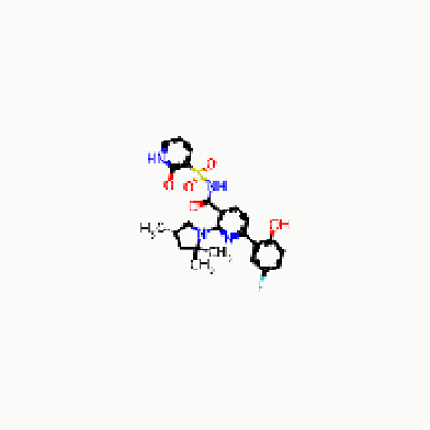 C[C@@H]1CN(c2nc(-c3cc(F)ccc3O)ccc2C(=O)NS(=O)(=O)c2ccc[nH]c2=O)C(C)(C)C1